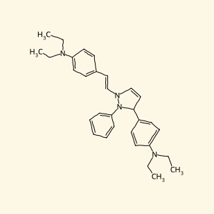 CCN(CC)c1ccc(C=CN2C=CC(c3ccc(N(CC)CC)cc3)N2c2ccccc2)cc1